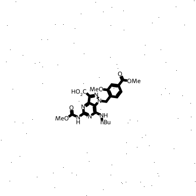 CCCCNc1nc(NC(=O)OC)nc2c(C(=O)O)nn(Cc3ccc(C(=O)OC)cc3OC)c12